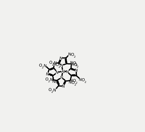 O=[N+]([O-])c1nc([N+](=O)[O-])[n]([Al-]([n]2c([N+](=O)[O-])nc([N+](=O)[O-])c2[N+](=O)[O-])([n]2c([N+](=O)[O-])nc([N+](=O)[O-])c2[N+](=O)[O-])[n]2c([N+](=O)[O-])nc([N+](=O)[O-])c2[N+](=O)[O-])c1[N+](=O)[O-]